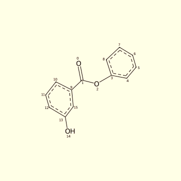 O=C(Oc1ccccc1)c1cccc(O)c1